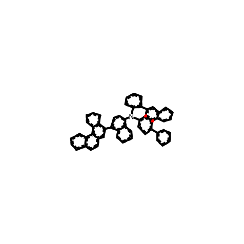 c1ccc(-c2ccc(N(c3ccccc3-c3ccc4ccccc4c3)c3ccc(-c4cc5ccc6ccccc6c5c5ccccc45)c4ccccc34)cc2)cc1